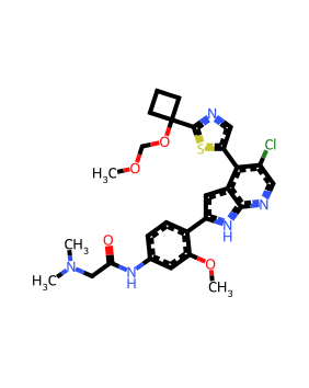 COCOC1(c2ncc(-c3c(Cl)cnc4[nH]c(-c5ccc(NC(=O)CN(C)C)cc5OC)cc34)s2)CCC1